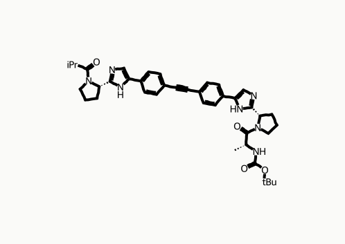 CC(C)C(=O)N1CCC[C@H]1c1ncc(-c2ccc(C#Cc3ccc(-c4cnc([C@@H]5CCCN5C(=O)[C@@H](C)NC(=O)OC(C)(C)C)[nH]4)cc3)cc2)[nH]1